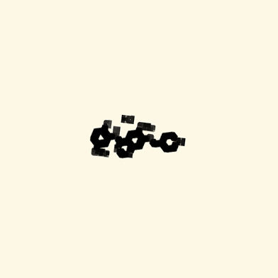 COc1ccc(Cl)c(Nc2ncnc3cc(OCC4CCNCC4)c(OC)cc23)c1.Cl